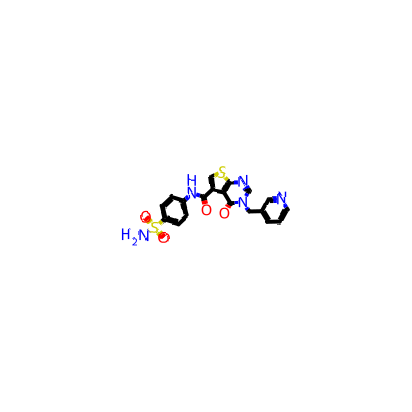 NS(=O)(=O)c1ccc(NC(=O)c2csc3ncn(Cc4cccnc4)c(=O)c23)cc1